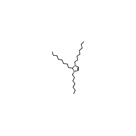 CCCCCCCCC1N(CCCCCCC)C=CN1CCCCCCCC